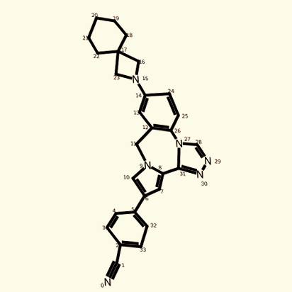 N#Cc1ccc(-c2cc3n(c2)Cc2cc(N4CC5(CCCCC5)C4)ccc2-n2cnnc2-3)cc1